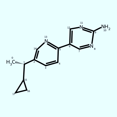 C[C@H](c1ccc(-c2cnc(N)nc2)nc1)C1CC1